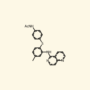 CC(=O)Nc1ccc(Sc2ccc(C)cc2Nc2nccc3ncccc23)cc1